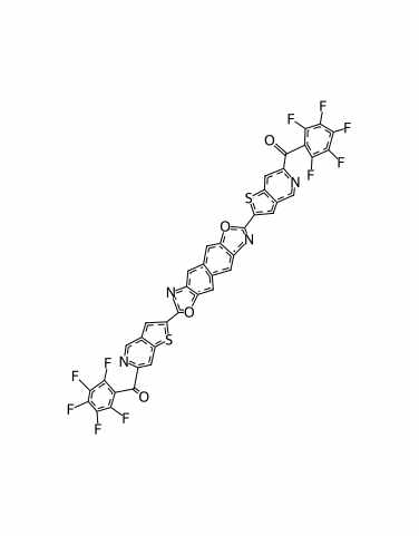 O=C(c1cc2sc(-c3nc4cc5cc6oc(-c7cc8cnc(C(=O)c9c(F)c(F)c(F)c(F)c9F)cc8s7)nc6cc5cc4o3)cc2cn1)c1c(F)c(F)c(F)c(F)c1F